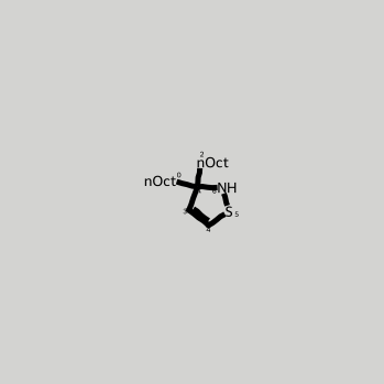 CCCCCCCCC1(CCCCCCCC)C=CSN1